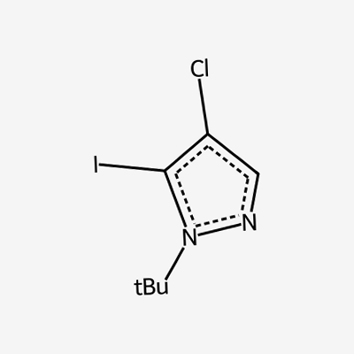 CC(C)(C)n1ncc(Cl)c1I